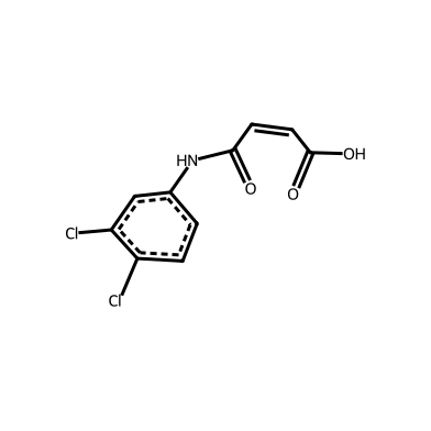 O=C(O)/C=C\C(=O)Nc1ccc(Cl)c(Cl)c1